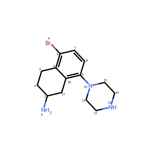 NC1CCc2c(Br)ccc(N3CCNCC3)c2C1